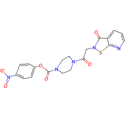 O=C(Cn1sc2ncccc2c1=O)N1CCN(C(=O)Oc2ccc([N+](=O)[O-])cc2)CC1